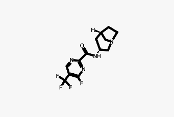 O=C(N[C@@H]1C[C@@H]2CCN(C2)C1)c1ncc(C(F)(F)F)c(F)n1